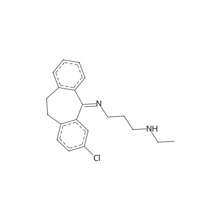 CCNCCCN=C1c2ccccc2CCc2ccc(Cl)cc21